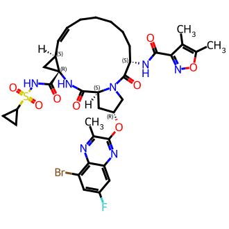 Cc1nc2c(Br)cc(F)cc2nc1O[C@@H]1C[C@H]2C(=O)N[C@]3(C(=O)NS(=O)(=O)C4CC4)C[C@H]3C=CCCCCC[C@H](NC(=O)c3noc(C)c3C)C(=O)N2C1